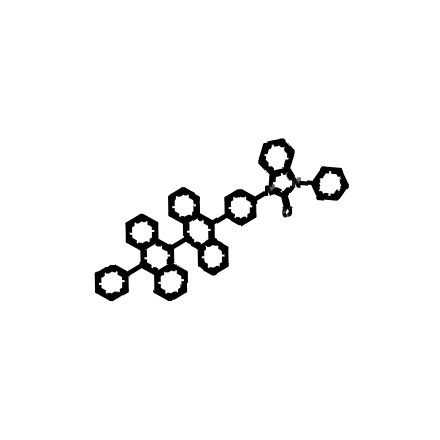 O=c1n(-c2ccccc2)c2ccccc2n1-c1ccc(-c2c3ccccc3c(-c3c4ccccc4c(-c4ccccc4)c4ccccc34)c3ccccc23)cc1